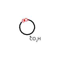 C1CCCCCCCOOCCCCCCC1.CC(=O)O